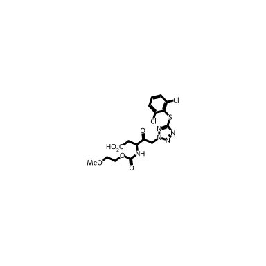 COCCOC(=O)NC(CC(=O)O)C(=O)Cn1nnc(Sc2c(Cl)cccc2Cl)n1